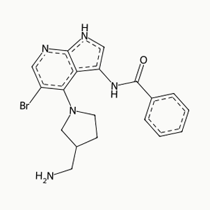 NCC1CCN(c2c(Br)cnc3[nH]cc(NC(=O)c4ccccc4)c23)C1